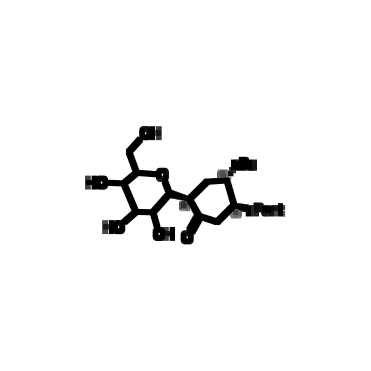 CCCCC[C@H]1CC(=O)[C@@H](C2OC(CO)C(O)C(O)C2O)C[C@@H]1CCCC